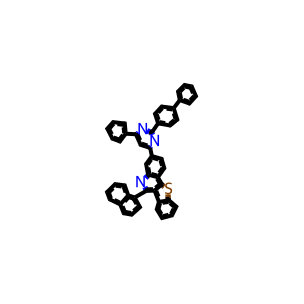 c1ccc(-c2ccc(-c3nc(-c4ccccc4)cc(-c4ccc5c(c4)nc(-c4cccc6ccccc46)c4c6ccccc6sc54)n3)cc2)cc1